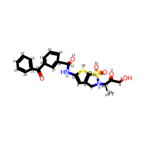 CC(C)[C@H](C(=O)CO)N1Cc2cc(NC(=O)c3cccc(C(=O)c4ccccc4)c3)sc2S1(=O)=O